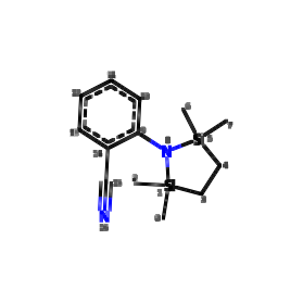 C[Si]1(C)CC[Si](C)(C)N1c1ccccc1C#N